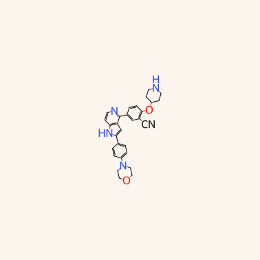 N#Cc1cc(-c2nccc3[nH]c(-c4ccc(N5CCOCC5)cc4)cc23)ccc1OC1CCNCC1